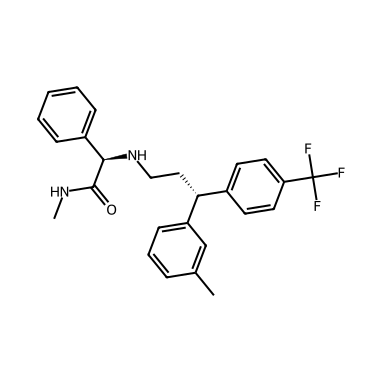 CNC(=O)[C@H](NCC[C@H](c1ccc(C(F)(F)F)cc1)c1cccc(C)c1)c1ccccc1